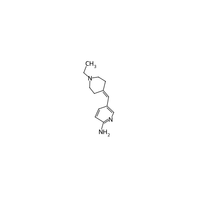 CCN1CCC(=Cc2ccc(N)nc2)CC1